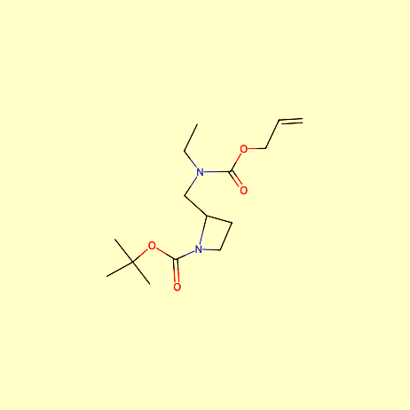 C=CCOC(=O)N(CC)CC1CCN1C(=O)OC(C)(C)C